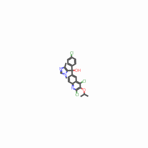 Cc1ncn(C)c1C(O)(c1ccc(Cl)cc1)c1ccc2nc(Cl)c(OC(C)C)c(Cl)c2c1